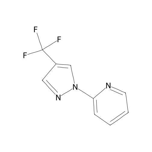 FC(F)(F)c1cnn(-c2ccccn2)c1